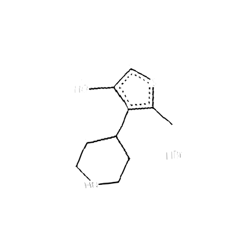 Br.Cc1scc(O)c1C1CCNCC1